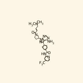 CN(C)CC=CC(=O)N1CCC(n2nc(-c3ccc(C(=O)Nc4cc(C(F)(F)F)ccn4)cc3)c3c(N)ncnc32)C1